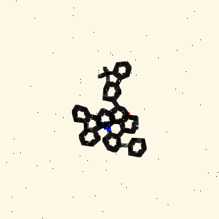 CC1(C)c2ccccc2-c2cc(-c3cccc(N(c4cccc(-c5ccccc5)c4-c4ccccc4-c4ccccc4)c4cc5ccccc5c5ccccc45)c3)ccc21